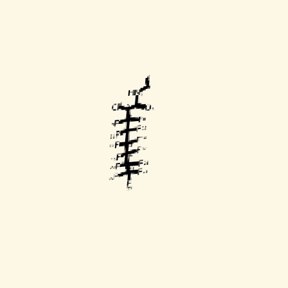 CCNC(=O)C(Cl)C(F)(F)C(F)(F)C(F)(F)C(F)(F)C(F)(F)C(F)(F)F